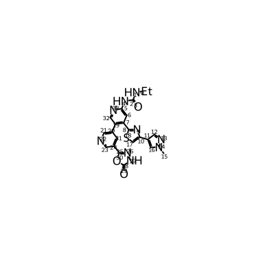 CCNC(=O)Nc1cc(-c2nc(-c3cnn(C)c3)cs2)c(-c2cncc(-c3n[nH]c(=O)o3)c2)cn1